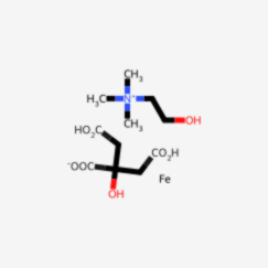 C[N+](C)(C)CCO.O=C(O)CC(O)(CC(=O)O)C(=O)[O-].[Fe]